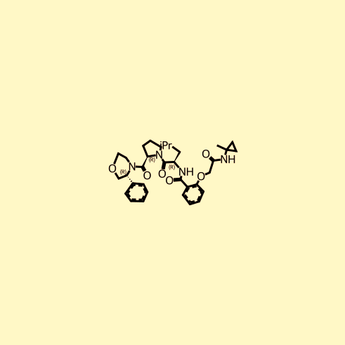 CC(C)C[C@@H](NC(=O)c1ccccc1OCC(=O)NC1(C)CC1)C(=O)N1CCC[C@@H]1C(=O)N1CCOC[C@H]1c1ccccc1